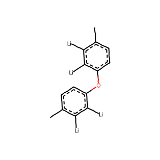 [Li][c]1c(C)ccc(Oc2ccc(C)[c]([Li])[c]2[Li])[c]1[Li]